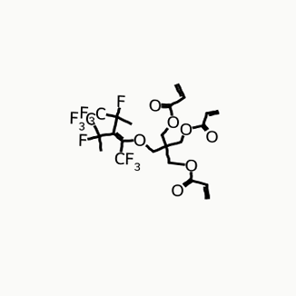 C=CC(=O)OCC(COC(=O)C=C)(COC(=O)C=C)COC(=C(C(C)(F)C(F)(F)F)C(C)(F)C(F)(F)F)C(F)(F)F